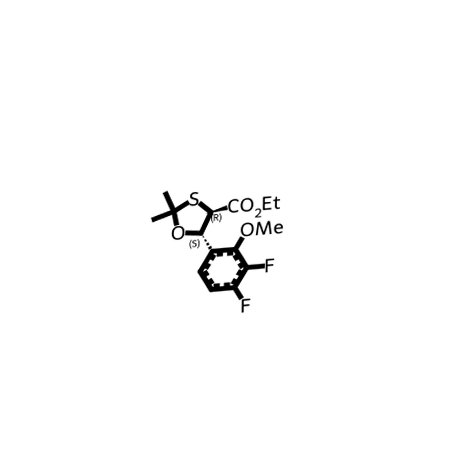 CCOC(=O)[C@@H]1SC(C)(C)O[C@H]1c1ccc(F)c(F)c1OC